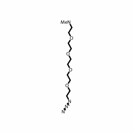 CNCCOCCOCCOCCOCCN=[N+]=[N-]